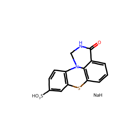 O=C1NCN2c3ccc(S(=O)(=O)O)cc3Sc3cccc1c32.[NaH]